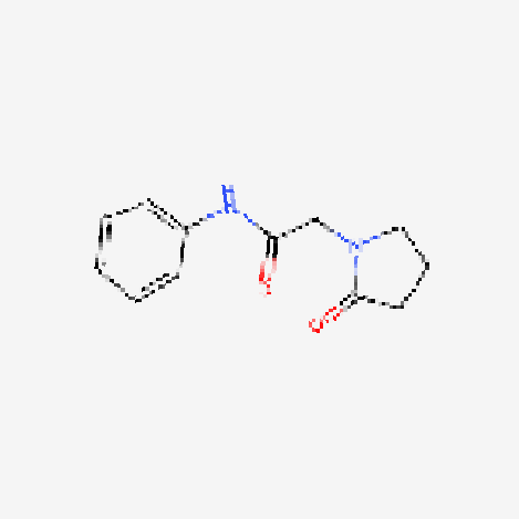 O=C(CN1CCCC1=O)Nc1cc[c]cc1